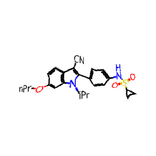 CCCOc1ccc2c(C#N)c(-c3ccc(NS(=O)(=O)C4CC4)cc3)n(C(C)C)c2c1